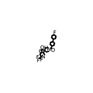 O=C(c1ccc(-c2ccc(F)cc2)cc1)N1CCC(C(=O)O)(c2ccc(C(F)(F)F)nc2)CC1